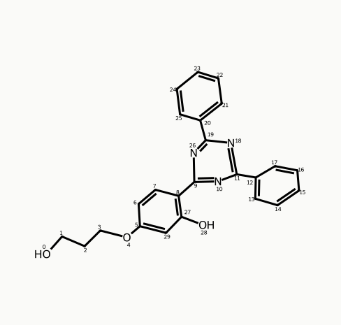 OCCCOc1ccc(-c2nc(-c3ccccc3)nc(-c3ccccc3)n2)c(O)c1